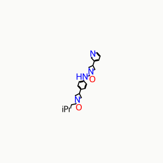 CC(C)CC(=O)N1CC(c2ccc(NC(=O)N3CC(c4cccnc4)C3)cc2)C1